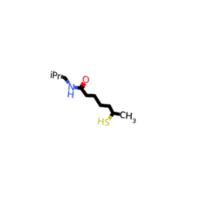 CC(C)CNC(=O)CCCCC(C)S